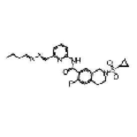 CCC/C=N/N=C/c1cccc(NC(=O)c2cc3c(cc2F)CCN(S(=O)(=O)C2CC2)C3)n1